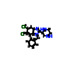 Clc1cc2nc(C3CNCCN3)n(Cc3ccccc3)c2cc1Cl